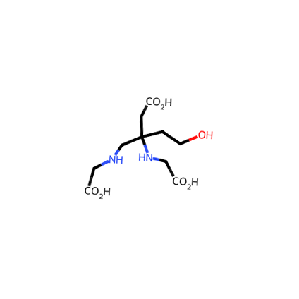 O=C(O)CNCC(CCO)(CC(=O)O)NCC(=O)O